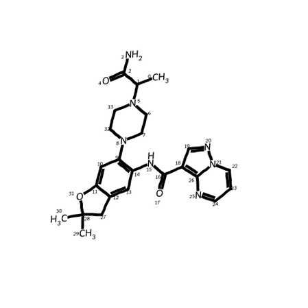 CC(C(N)=O)N1CCN(c2cc3c(cc2NC(=O)c2cnn4cccnc24)CC(C)(C)O3)CC1